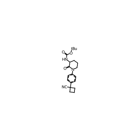 CC(C)(C)OC(=O)NC1CCCN(c2ccc(C3(C#N)CCC3)cc2)C1=O